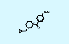 COc1ccc(C(=O)[C@@H]2CCCN(CC3CC3)C2)cc1